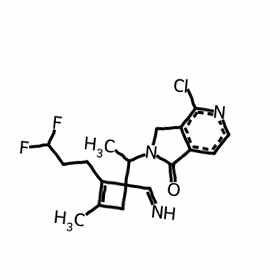 CC1=C(CCC(F)F)C(C=N)(C(C)N2Cc3c(ccnc3Cl)C2=O)C1